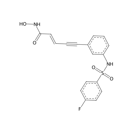 O=C(/C=C/C#Cc1cccc(NS(=O)(=O)c2ccc(F)cc2)c1)NO